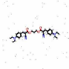 CCN(CC)c1ccc(/C=C(\C#N)C(=O)OCCCOC(=O)/C(C#N)=C/c2ccc(N(CC)CC)cc2)cc1